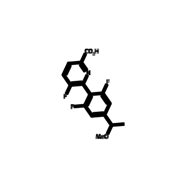 COC(C)c1cc(F)c(-c2nc(C(=O)O)ccc2F)c(F)c1